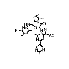 CC(=O)c1nn(CC(=O)N2[C@H](C(=O)Nc3nc(Br)c(F)cc3C)C[C@@]3(C)C[C@@H]23)c2c(C)nc(-c3cnc(C)nc3)cc12